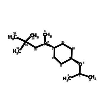 CC(C)O[C@H]1CC[C@@H](N(C)CC(C)(C)C)CC1